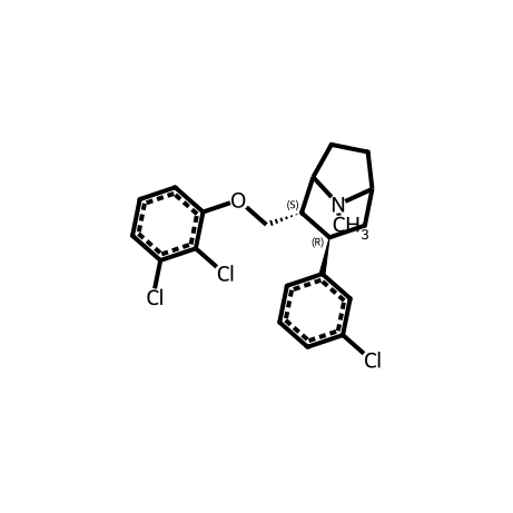 CN1C2CCC1[C@@H](COc1cccc(Cl)c1Cl)[C@H](c1cccc(Cl)c1)C2